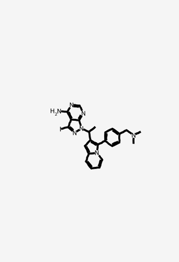 CC(c1cc2ccccn2c1-c1ccc(CN(C)C)cc1)n1nc(I)c2c(N)ncnc21